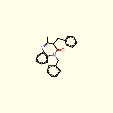 CC1=Nc2ccccc2N(Cc2ccccc2)C(=O)C1Cc1ccccc1